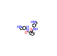 O=C(Nc1ccc2[nH]ccc2c1)C12CC3CC(C1)CC(C(=O)Nc1ccc4[nH]ccc4c1)(C3)C2